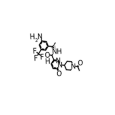 CC(=O)N1CCC(n2nc(C(O)N[C@H](C)c3cc(N)cc(C(F)(F)F)c3)ccc2=O)CC1